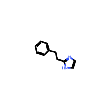 [CH](Cc1ncc[nH]1)c1ccccc1